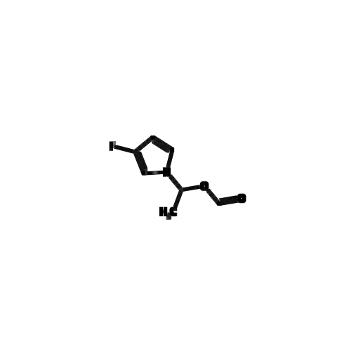 CC(OC=O)n1ccc(F)c1